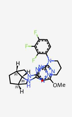 COc1cc(N2C[C@H]3CC[C@@H](C2)[C@H]3Nc2nc3n(n2)CCCN3c2ccc(F)c(F)c2F)ncn1